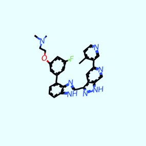 Cc1ccncc1-c1cc2c(-c3nc4c(-c5cc(F)cc(OCCN(C)C)c5)cccc4[nH]3)n[nH]c2cn1